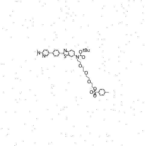 Cc1ccc(S(=O)(=O)OCCOCCOCCOCCN(C(=O)OC(C)(C)C)c2ccc3nc(-c4ccc(-c5ccc(N(C)C)nc5)cc4)sc3c2)cc1